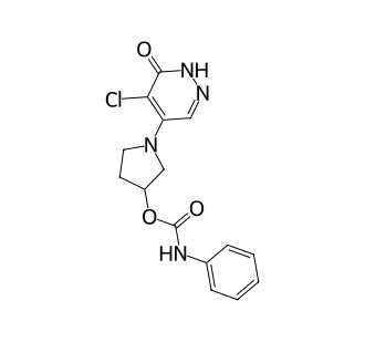 O=C(Nc1ccccc1)OC1CCN(c2cn[nH]c(=O)c2Cl)C1